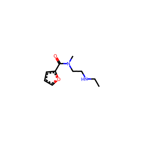 CCNCCN(C)C(=O)c1ccco1